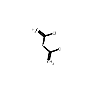 C=C(Cl)SC(=C)Cl